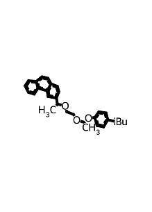 CCC(C)c1ccc(OC(C)OCCOC(C)c2ccc3ccc4ccccc4c3c2)cc1